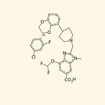 Cn1c(CN2CCC(c3cccc4c3O[C@H](c3ccc(Cl)cc3F)CO4)CC2)nc2c(OC(F)F)cc(C(=O)O)cc21